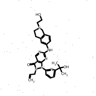 C=CCn1c(=O)c2cnc(Nc3ccc4c(c3)CCN(CCO)C4)nc2n1-c1cccc(C(C)(C)O)n1